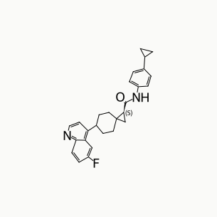 O=C(Nc1ccc(C2CC2)cc1)[C@H]1CC12CCC(c1ccnc3ccc(F)cc13)CC2